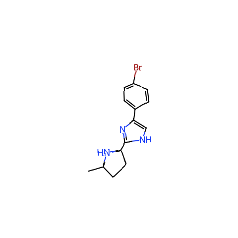 CC1CCC(c2nc(-c3ccc(Br)cc3)c[nH]2)N1